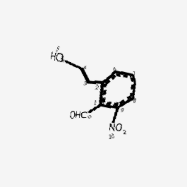 O=Cc1c(CCO)cccc1[N+](=O)[O-]